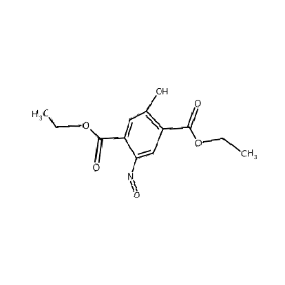 CCOC(=O)c1cc(N=O)c(C(=O)OCC)cc1O